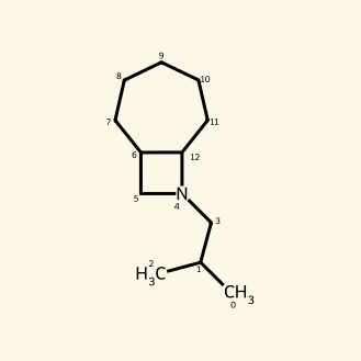 CC(C)CN1CC2CCCCCC21